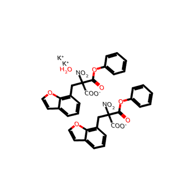 O.O=C([O-])C(Cc1cccc2ccoc12)(C(=O)Oc1ccccc1)[N+](=O)[O-].O=C([O-])C(Cc1cccc2ccoc12)(C(=O)Oc1ccccc1)[N+](=O)[O-].[K+].[K+]